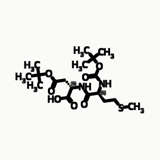 CSCC[C@H](NC(=O)OC(C)(C)C)C(=O)N[C@@H](CC(=O)OC(C)(C)C)C(=O)O